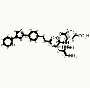 CCN/C(=C\N)C[C@H](NC(=O)CCc1ccc(-c2cc(-c3ccccc3)cs2)cc1)C(=O)N[C@@H](CCC(=O)O)C(N)=O